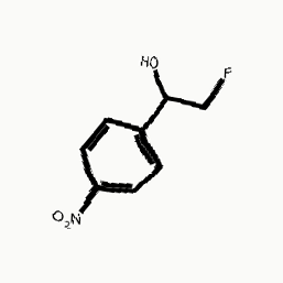 O=[N+]([O-])c1ccc(C(O)CF)cc1